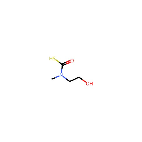 CN(CCO)C(=O)S